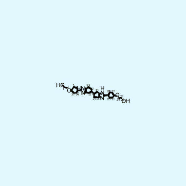 OCCOc1ccc(-c2nc3cc(-c4ccc5nc(-c6ccc(OCCO)cc6)[nH]c5c4)ccc3[nH]2)cc1